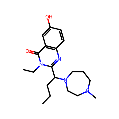 CCCC(c1nc2ccc(O)cc2c(=O)n1CC)N1CCCN(C)CC1